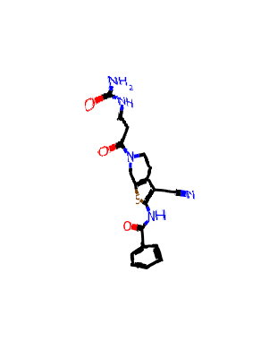 N#Cc1c(NC(=O)c2ccccc2)sc2c1CCN(C(=O)CCNC(N)=O)C2